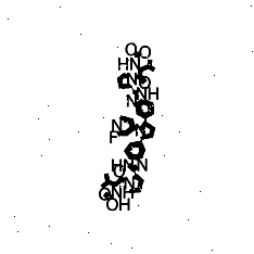 COC(=O)N[C@H](C(=O)N1CCC[C@H]1c1nc2cc([C@H]3CC[C@H](c4ccc5[nH]c([C@@H]6CCCN6C(=O)[C@@H](NC(=O)O)C(C)C)nc5c4)N3c3ccnc(F)c3)ccc2[nH]1)C(C)C